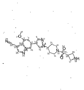 COc1cc(-c2cnn(C3CCN(S(=O)(=O)C4CNC4)CC3)c2)cn2ncc(C#N)c12